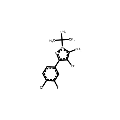 CC(C)(C)n1nc(-c2ccc(Cl)c(F)c2)c(Br)c1N